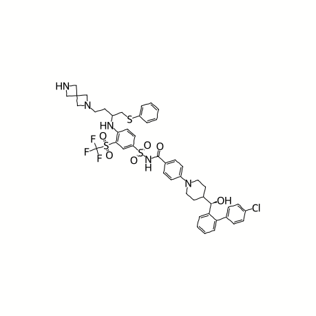 O=C(NS(=O)(=O)c1ccc(NC(CCN2CC3(CNC3)C2)CSc2ccccc2)c(S(=O)(=O)C(F)(F)F)c1)c1ccc(N2CCC([C@@H](O)c3ccccc3-c3ccc(Cl)cc3)CC2)cc1